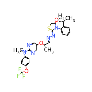 CC(/C=N/N=C1\SCC(=O)N1c1ccccc1C(C)C)Oc1cnc(N(C)c2ccc(OC(F)(F)F)cc2)nc1